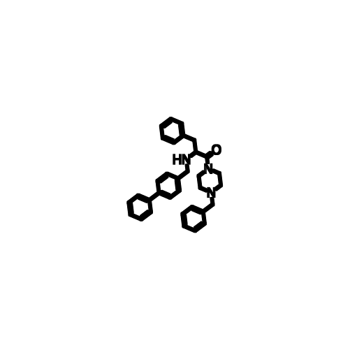 O=C(C(Cc1ccccc1)NCc1ccc(-c2ccccc2)cc1)N1CCN(Cc2ccccc2)CC1